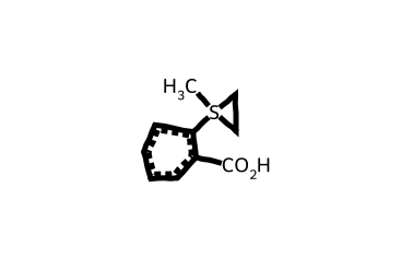 CS1(c2ccccc2C(=O)O)CC1